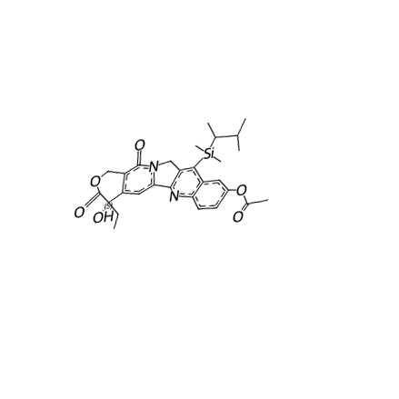 CC[C@@]1(O)C(=O)OCc2c1cc1n(c2=O)Cc2c-1nc1ccc(OC(C)=O)cc1c2[Si](C)(C)C(C)C(C)C